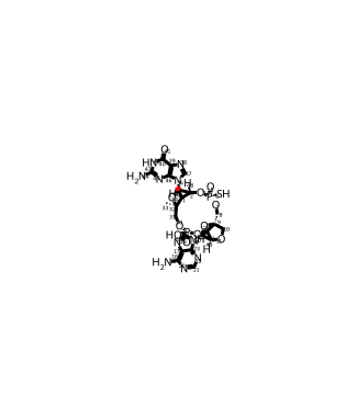 C[C@H]1[C@H]2O[P@@](=O)(S)OC[C@@]34CO[C@@H]([C@H](n5cnc6c(N)ncnc65)O3)[C@@H]4OP(=O)(O)OC[C@@]1(C)O[C@H]2n1cnc2c(=O)[nH]c(N)nc21